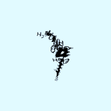 COc1cc(CNC(=O)CCCC/C=C/C(C)C)ccc1OC(=O)NCCOCCN